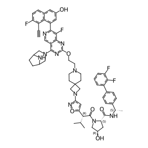 C#Cc1c(F)ccc2cc(O)cc(-c3ncc4c(N5CC6CCC(C5)N6)nc(OCCN5CCC6(CC5)CN(c5cc([C@H](C(=O)N7C[C@H](O)C[C@H]7C(=O)N[C@@H](C)c7ccc(-c8cccc(F)c8F)cc7)C(C)C)on5)C6)nc4c3F)c12